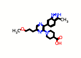 COCCCc1cnc(-c2ccc3c(C)[nH]nc3c2)c(N2CCC(C(=O)O)CC2)n1